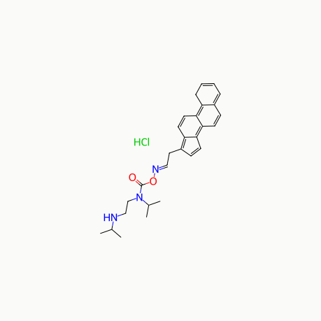 CC(C)NCCN(C(=O)ON=CCC1=c2ccc3c4c(ccc3c2C=C1)=CC=CC4)C(C)C.Cl